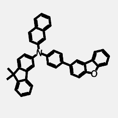 CC1(C)c2ccccc2-c2cc(N(c3ccc(-c4ccc5oc6ccccc6c5c4)cc3)c3ccc4ccccc4c3)ccc21